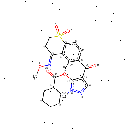 CCON=C1CCS(=O)(=O)c2ccc(C(=O)c3cnn(CC)c3OC(=O)C3CCCCC3)c(C)c21